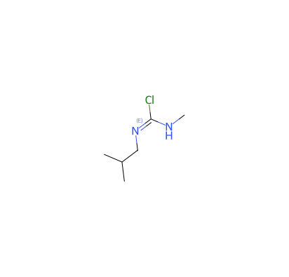 CN/C(Cl)=N\CC(C)C